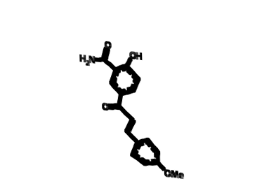 COc1ccc(/C=C/C(=O)c2ccc(O)c(C(N)=O)c2)cc1